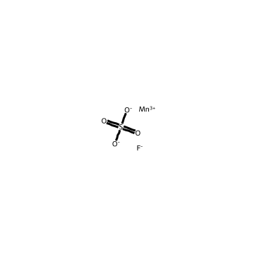 O=S(=O)([O-])[O-].[F-].[Mn+3]